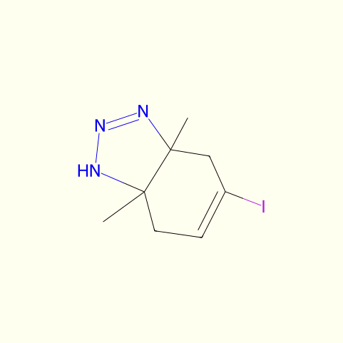 CC12CC(I)=CCC1(C)NN=N2